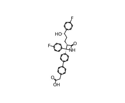 O=C(O)Cc1ccc(-c2ccc([C@@]3(c4ccc(F)cc4)NC(=O)[C@@H]3CC[C@H](O)c3ccc(F)cc3)cc2)cc1